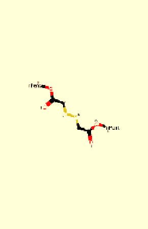 CCCCCOC(=O)CSSCC(=O)OCCCCC